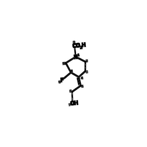 O=C(O)N1CCC(=CCO)C(F)C1